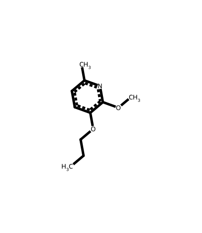 CCCOc1ccc(C)nc1OC